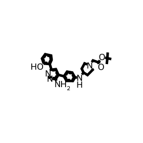 CC(C)(C)OC(=O)CN1CCC(Nc2ccc(-c3cc(-c4ccccc4O)nnc3N)cc2)CC1